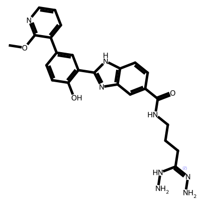 COc1ncccc1-c1ccc(O)c(-c2nc3cc(C(=O)NCCC/C(=N/N)NN)ccc3[nH]2)c1